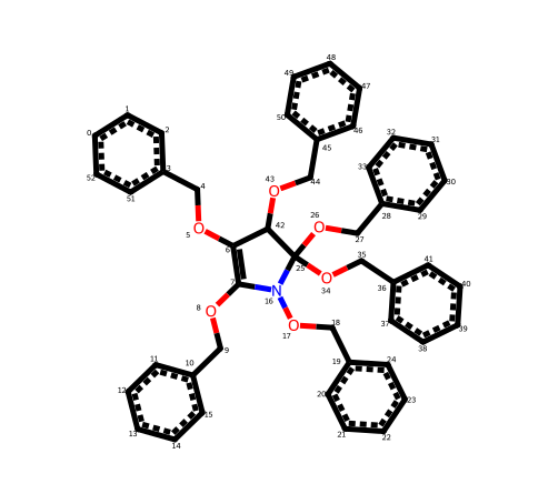 c1ccc(COC2=C(OCc3ccccc3)N(OCc3ccccc3)C(OCc3ccccc3)(OCc3ccccc3)C2OCc2ccccc2)cc1